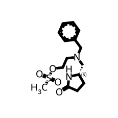 CS(=O)(=O)OCCN(Cc1ccccc1)C[C@@H]1CCC(=O)N1